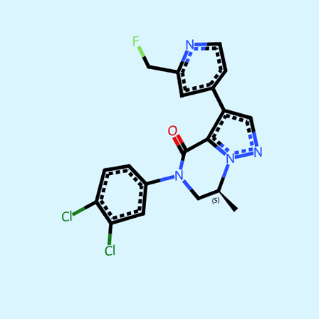 C[C@H]1CN(c2ccc(Cl)c(Cl)c2)C(=O)c2c(-c3ccnc(CF)c3)cnn21